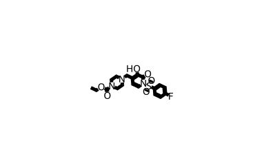 CCOC(=O)N1CCN(Cc2ccn(S(=O)(=O)c3ccc(F)cc3)c(=O)c2O)CC1